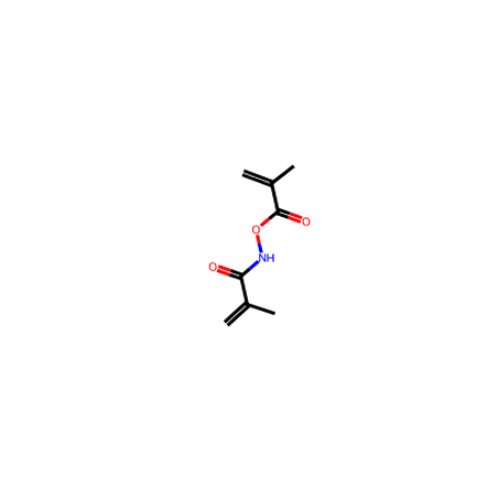 C=C(C)C(=O)NOC(=O)C(=C)C